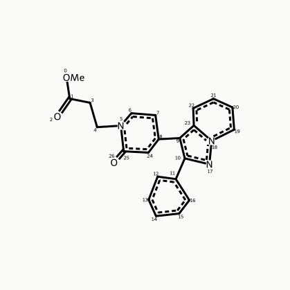 COC(=O)CCn1ccc(-c2c(-c3ccccc3)nn3ccccc23)cc1=O